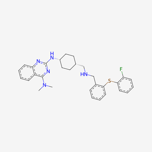 CN(C)c1nc(N[C@H]2CC[C@@H](CNCc3ccccc3Sc3ccccc3F)CC2)nc2ccccc12